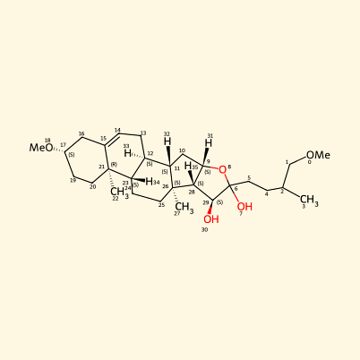 COCC(C)CCC1(O)O[C@H]2C[C@H]3[C@@H]4CC=C5C[C@@H](OC)CC[C@]5(C)[C@H]4CC[C@]3(C)[C@H]2[C@@H]1O